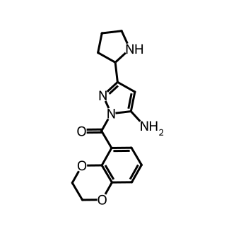 Nc1cc(C2CCCN2)nn1C(=O)c1cccc2c1OCCO2